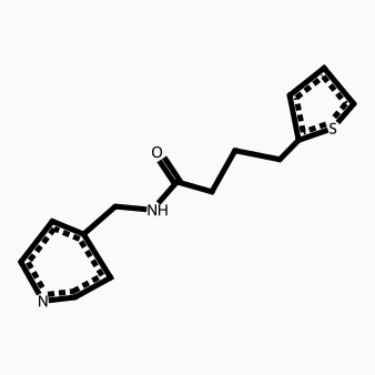 O=C(CCCc1cccs1)NCc1ccncc1